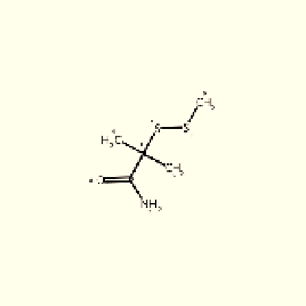 CSSC(C)(C)C(N)=O